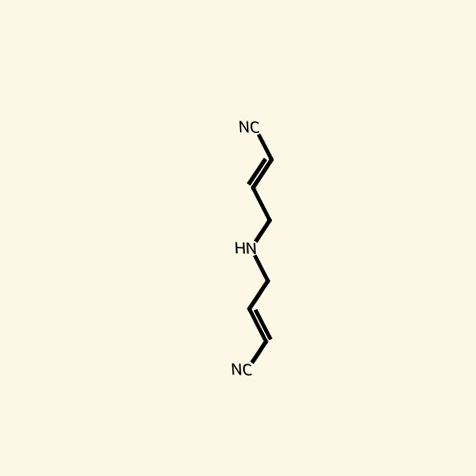 N#CC=CCNCC=CC#N